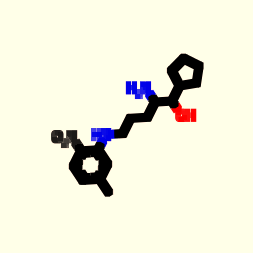 Cc1ccc([N+](=O)[O-])c(NCCCC(N)C(O)C2CCCC2)c1